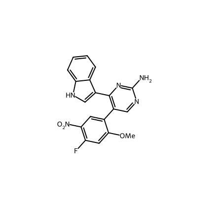 COc1cc(F)c([N+](=O)[O-])cc1-c1cnc(N)nc1-c1c[nH]c2ccccc12